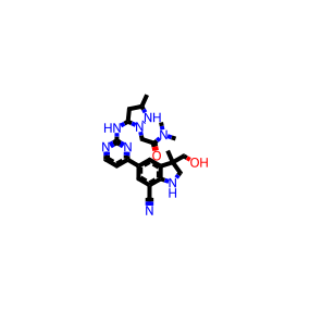 CC1CC(Nc2nccc(-c3cc(C#N)c4c(c3)C(C)(CO)CN4)n2)N(CC(=O)N(C)C)N1